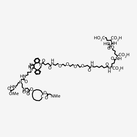 CNCC(=O)O[C@@H]1CCCCCCC[C@H](OC(=O)CN(C)CCN(CCNCC(=O)OC)CC(=O)NCCCn2nnc3c2-c2ccccc2CN(C(=O)CCC(=O)NCCOCCOCCOCCOCCC(=O)NCCCCCC(=O)N[C@H](CCC(=O)N[C@@H](CCCOP(=O)(O)NC(CCC(=O)O)C(=O)O)C(=O)O)C(=O)O)c2ccccc2-3)CCC1